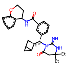 CCC1(CC)CC(=O)N([C@@H](c2cccc(C(=O)NC3CCOc4ccccc43)c2)[C@@H]2CC3CC32)C(=N)N1